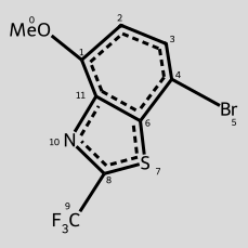 COc1ccc(Br)c2sc(C(F)(F)F)nc12